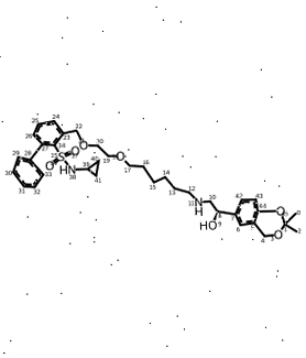 CC1(C)OCc2cc([C@@H](O)CNCCCCCCOCCOCc3cccc(-c4ccccc4)c3S(=O)(=O)NC3CC3)ccc2O1